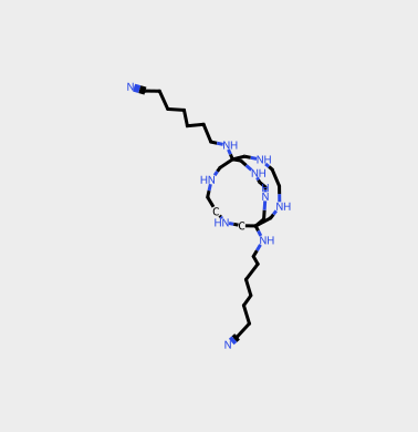 N#CCCCCCCNC12CNCCNCC(NCCCCCCC#N)(CNCCNC1)CNCCNC2